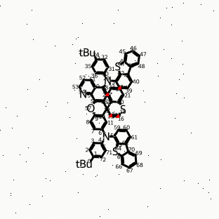 CC(C)(C)c1ccc(N(c2ccc3c(c2)C2(c4ccccc4Sc4ccccc42)c2cc(N(c4ccc(C(C)(C)C)cc4)c4cccc5c4sc4ccccc45)c4cccnc4c2O3)c2cccc3c2sc2ccccc23)cc1